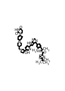 Cc1cc(-c2ncnc3[nH]c(-c4ccc(C5(O)CCN(CC6CCN(c7ccc(N8CCC(=O)NC8=O)cc7)CC6)C5)cn4)cc23)ccc1[C@@H](C)NC(=O)c1nc(C(C)(C)C)no1